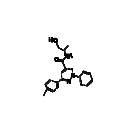 Cc1ccc(C2=NN(c3ccccc3)CC(C(=O)NC(C)CO)=C2)cc1